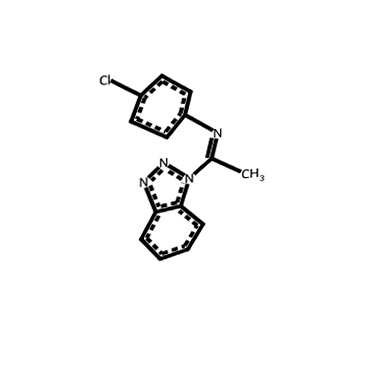 C/C(=N/c1ccc(Cl)cc1)n1nnc2ccccc21